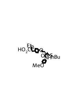 CCCCSCCN(CCOc1ccc(CC(OCC)C(=O)O)cc1)C(=O)Nc1ccc(OC)cc1